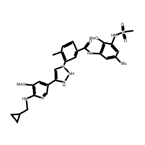 COc1cc(C2=CN(c3cc(C(=O)Nc4cc(C(C)(C)C)cc(NS(C)(=O)=O)c4OC)ccc3C)NN2)cnc1NCC1CC1